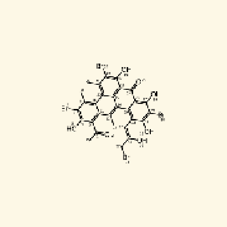 CC(=O)c1c(O)c(Br)c(C)c2c1c(C)c1c3c(c(O)c(Br)c(C)c32)C(=O)c2c(O)c(Br)c(O)c(/C=C(\O)CBr)c2-1